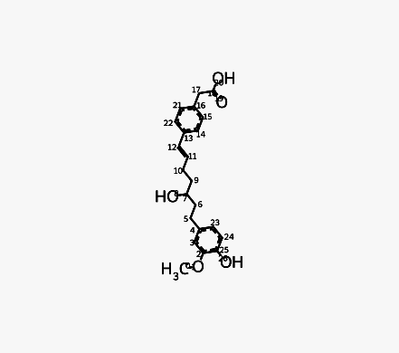 COc1cc(CCC(O)CC/C=C/c2ccc(CC(=O)O)cc2)ccc1O